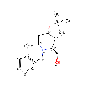 C[C@@H]1C[C@H](O[Si](C)(C)C(C)(C)C)C[C@@H](CO)N1Cc1ccccc1